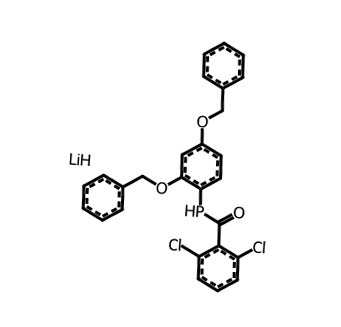 O=C(Pc1ccc(OCc2ccccc2)cc1OCc1ccccc1)c1c(Cl)cccc1Cl.[LiH]